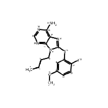 CCCCn1c(Sc2cc(OC)ccc2I)nc2c(N)ncnc21